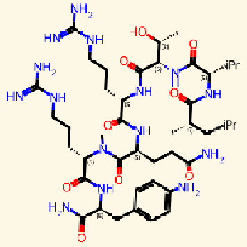 CC(C)C[C@H](C)C(=O)N[C@H](C(=O)N[C@H](C(=O)N[C@@H](CCCNC(=N)N)C(=O)N[C@@H](CCC(N)=O)C(=O)N(C)[C@@H](CCCNC(=N)N)C(=O)N[C@@H](Cc1ccc(N)cc1)C(N)=O)[C@@H](C)O)C(C)C